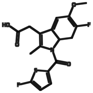 COC1=C(F)CC2C(=C1)C(CC(=O)O)=C(C)N2C(=O)c1ccc(F)s1